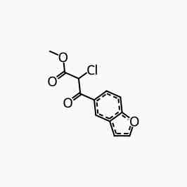 COC(=O)C(Cl)C(=O)c1ccc2occc2c1